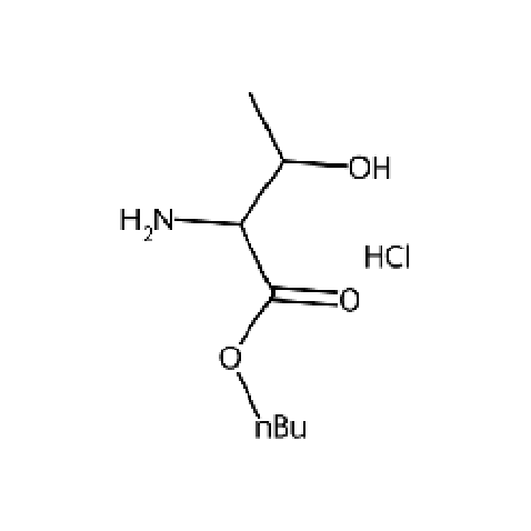 CCCCOC(=O)C(N)C(C)O.Cl